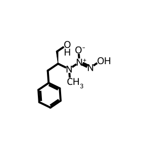 CN([C@H](CO)Cc1ccccc1)/[N+]([O-])=N/O